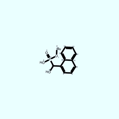 CCC(C)OP(=O)(O)C(O)c1cccc2ccccc12